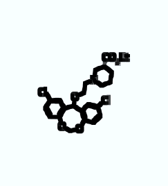 CCOC(=O)[C@@H]1CCCN(CCOC2c3cc(Cl)ccc3OCOc3ccc(Cl)cc32)C1